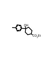 CCOC(=O)C1CCC(O)(c2ccc(C)cc2)CC1